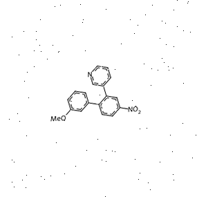 COc1cccc(-c2ccc([N+](=O)[O-])cc2-c2cccnc2)c1